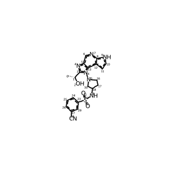 C[C@@H](O)c1nc2cnc3[nH]ccc3c2n1N1CCC(NS(=O)(=O)c2cccc(C#N)c2)C1